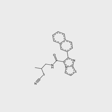 CC(CNC(=O)c1c(-c2ccc3ccccc3c2)nc2sccn12)SC#N